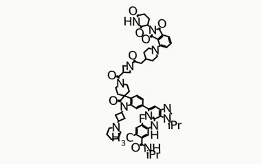 Cc1cc(F)c(Nc2nc(-c3ccc4c(c3)N(C3CC(N5CCCCC5)C3)C(=O)C43CCN(C(=O)C4CN(C(=O)CC5CCN(c6cccc7c6C(=O)N(C6CCC(=O)NC6=O)C7=O)CC5)C4)CC3)cc3ncn(C(C)C)c23)cc1C(=O)NC(C)C